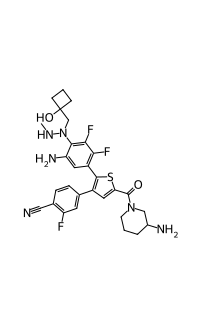 CNN(CC1(O)CCC1)c1c(N)cc(-c2sc(C(=O)N3CCCC(N)C3)cc2-c2ccc(C#N)c(F)c2)c(F)c1F